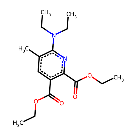 CCOC(=O)c1cc(C)c(N(CC)CC)nc1C(=O)OCC